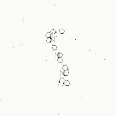 c1ccc(-c2ccc3ccc4ccc(-c5ccc(-c6ccc7cc(-c8ccc9ccc(-c%10ccnc%11ccccc%10%11)nc9c8)ccc7n6)cc5)nc4c3n2)cc1